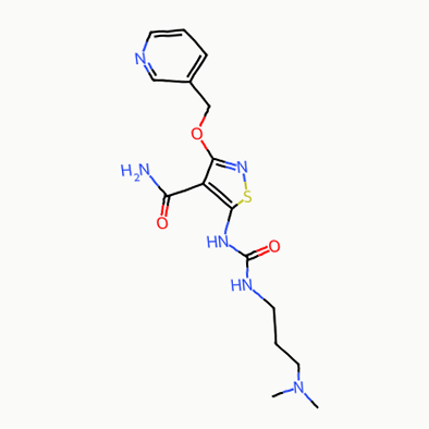 CN(C)CCCNC(=O)Nc1snc(OCc2cccnc2)c1C(N)=O